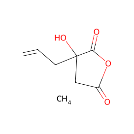 C.C=CCC1(O)CC(=O)OC1=O